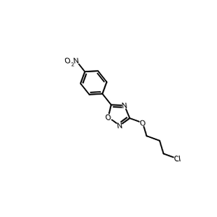 O=[N+]([O-])c1ccc(-c2nc(OCCCCl)no2)cc1